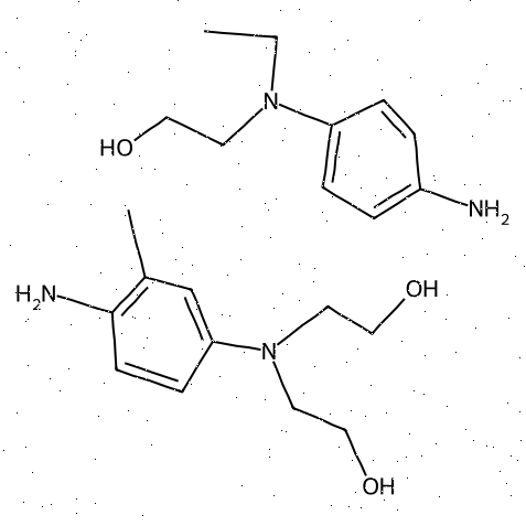 CCN(CCO)c1ccc(N)cc1.Cc1cc(N(CCO)CCO)ccc1N